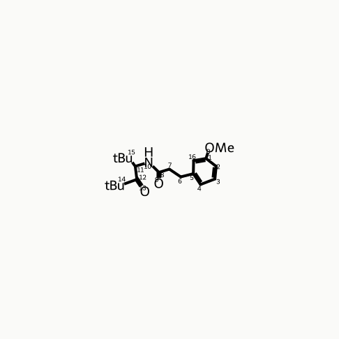 COc1cccc(CCC(=O)NC(C(=O)C(C)(C)C)C(C)(C)C)c1